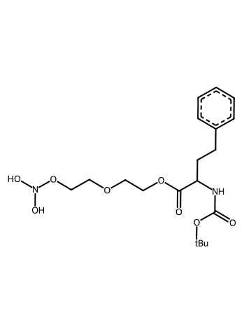 CC(C)(C)OC(=O)NC(CCc1ccccc1)C(=O)OCCOCCON(O)O